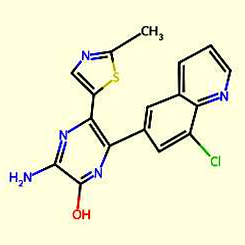 Cc1ncc(-c2nc(N)c(O)nc2-c2cc(Cl)c3ncccc3c2)s1